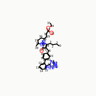 CCCCc1c(Cc2ccc(-c3ccccc3-c3nnn[nH]3)cc2)c(=O)n2n1C(CCC(=O)OCC)CCC2C